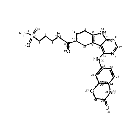 CS(=O)(=O)CCCNC(=O)[C@H]1CCc2[nH]c3ncnc(Nc4ccc5c(c4)OCC(=O)N5)c3c2C1